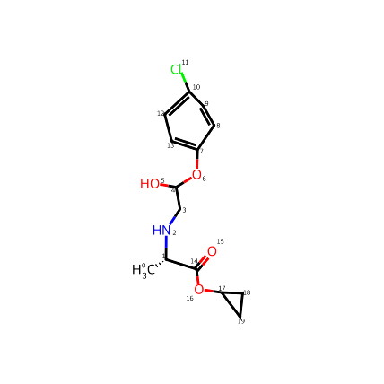 C[C@H](NCC(O)Oc1ccc(Cl)cc1)C(=O)OC1CC1